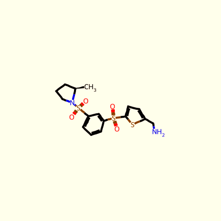 C[C@@H]1CCCN1S(=O)(=O)c1cccc(S(=O)(=O)c2ccc(CN)s2)c1